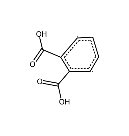 O=C(O)c1[c]cc[c]c1C(=O)O